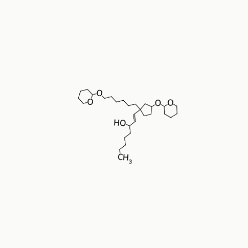 CCCCCC(O)C=CC1(CCCCCCOC2CCCCO2)CCC(OC2CCCCO2)C1